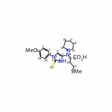 COc1ccc(-n2cc(N([C@@H](CCSC)C(=O)O)N3CCCCC3)[nH]c2=S)cc1